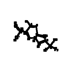 Cc1cc2nc(C(F)(F)F)nn2cc1[N+](=O)[O-]